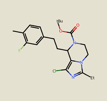 CCc1nc(Cl)c2n1CCN(C(=O)OC(C)(C)C)C2CCc1ccc(C)c(F)c1